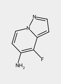 Nc1ccn2nccc2c1F